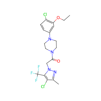 CCOc1cc(N2CCN(C(=O)Cn3nc(C)c(Cl)c3C(F)(F)F)CC2)ccc1Cl